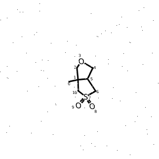 CC12COCC1CS(=O)(=O)C2